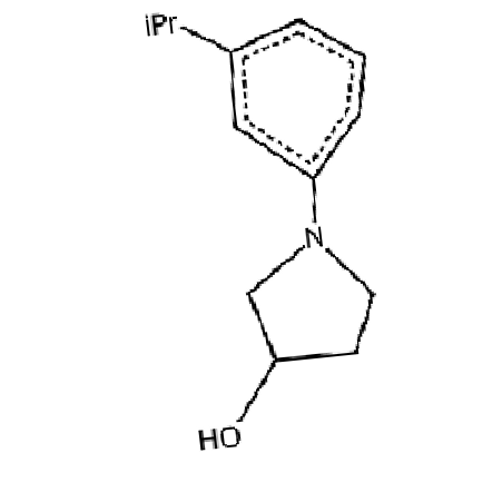 CC(C)c1cccc(N2CCC(O)C2)c1